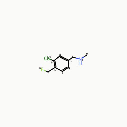 CNCc1ccc(CF)c(Cl)c1